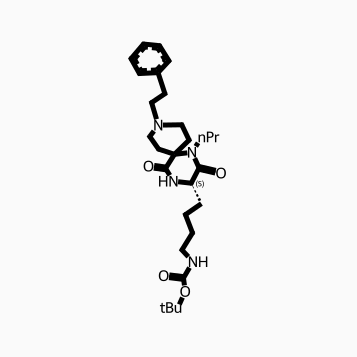 CCCN1C(=O)[C@H](CCCCNC(=O)OC(C)(C)C)NC(=O)C12CCN(CCc1ccccc1)CC2